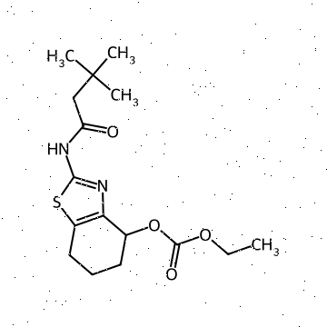 CCOC(=O)OC1CCCc2sc(NC(=O)CC(C)(C)C)nc21